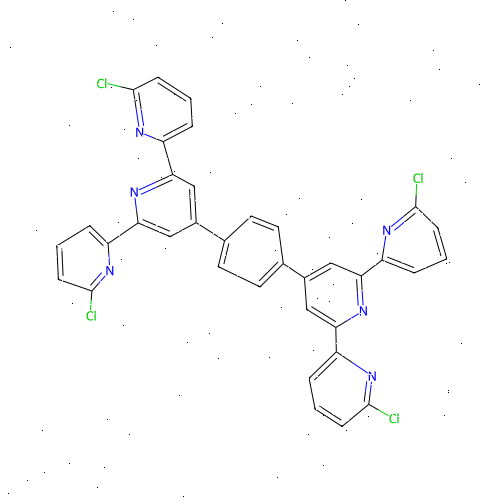 Clc1cccc(-c2cc(-c3ccc(-c4cc(-c5cccc(Cl)n5)nc(-c5cccc(Cl)n5)c4)cc3)cc(-c3cccc(Cl)n3)n2)n1